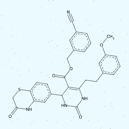 COc1cccc(CCC2=C(C(=O)OCc3cccc(C#N)c3)C(c3ccc4c(c3)NC(=O)CS4)NC(=O)N2)c1